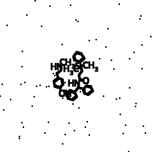 CNCCc1ccc(O)cc1.C[Si](C)(CCC(=O)NC(c1ccccc1)c1ccccc1)c1ccccc1